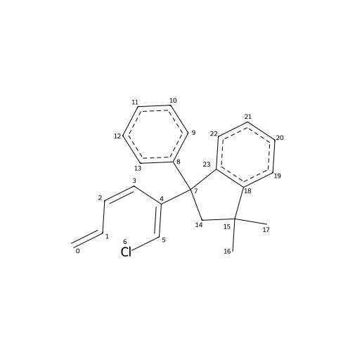 C=C/C=C\C(=C/Cl)C1(c2ccccc2)CC(C)(C)c2ccccc21